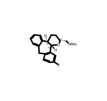 CNC[C@H]1CC[C@@H]2c3ccccc3Cc3ccc(F)cc3[C@H]2O1